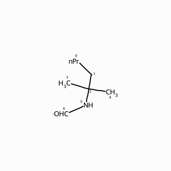 CCCCC(C)(C)N[C]=O